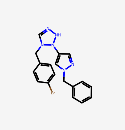 Brc1ccc(CN2C=NNN2c2cnn(Cc3ccccc3)c2)cc1